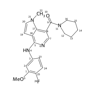 COc1cc(Nc2ncc(C(=O)N3CCCCC3)c3c2ccn3C)ccc1F